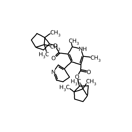 CC1=C(C(=O)OC2CC3CCC2(C)C3(C)C)C(C2=CN=CCC2)=C(C(=O)OC2CC3CCC2(C)C3(C)C)C(C)N1